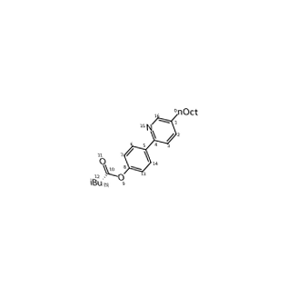 CCCCCCCCc1ccc(-c2ccc(OC(=O)[C@@H](C)CC)cc2)nc1